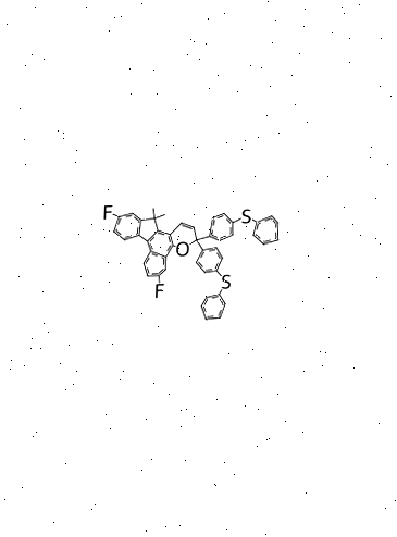 CC1(C)c2cc(F)ccc2-c2c1c1c(c3cc(F)ccc23)OC(c2ccc(Sc3ccccc3)cc2)(c2ccc(Sc3ccccc3)cc2)C=C1